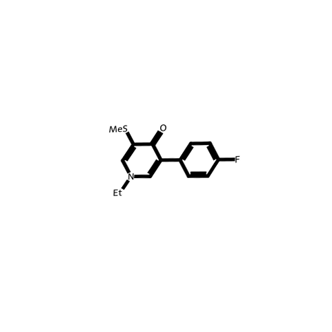 CCn1cc(SC)c(=O)c(-c2ccc(F)cc2)c1